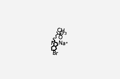 CCC(CCSc1ccc2cc(Br)ccc2n1)C(=O)[O-].[Na+]